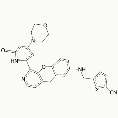 N#Cc1ccc(CNc2ccc3c(c2)Cc2ccnc(-c4cc(N5CCOCC5)cc(=O)[nH]4)c2O3)s1